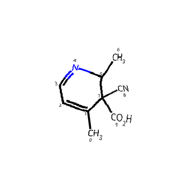 CC1=CC=NC(C)C1(C#N)C(=O)O